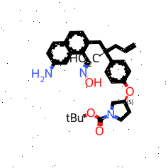 C=CC[C@@](Cc1ccc2ccc(N)cc2c1C=NO)(C(=O)O)c1ccc(O[C@H]2CCN(C(=O)OC(C)(C)C)C2)cc1